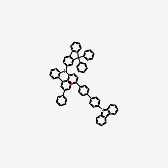 c1ccc(-c2cccc(-c3ccccc3N(c3ccc(-c4ccc(-c5ccc(-n6c7ccccc7c7ccccc76)cc5)cc4)cc3)c3ccc4c(c3)C(c3ccccc3)(c3ccccc3)c3ccccc3-4)c2)cc1